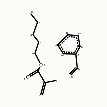 C=C(C)C(=O)OCCCCC.C=Cc1ccccc1